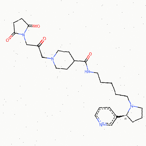 O=C(CN1CCC(C(=O)NCCCCCN2CCC[C@H]2c2cccnc2)CC1)CN1C(=O)CCC1=O